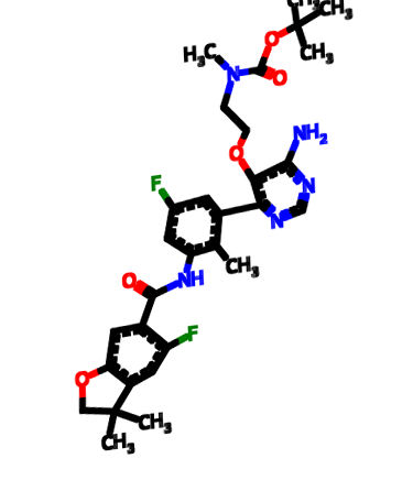 Cc1c(NC(=O)c2cc3c(cc2F)C(C)(C)CO3)cc(F)cc1-c1ncnc(N)c1OCCN(C)C(=O)OC(C)(C)C